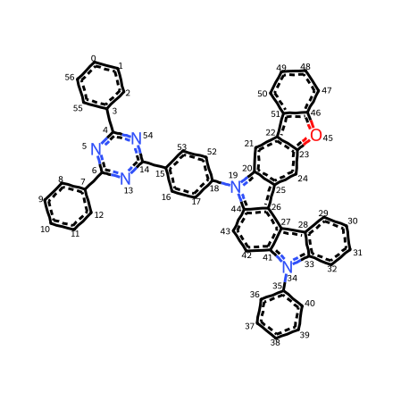 c1ccc(-c2nc(-c3ccccc3)nc(-c3ccc(-n4c5cc6c(cc5c5c7c8ccccc8n(-c8ccccc8)c7ccc54)oc4ccccc46)cc3)n2)cc1